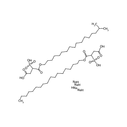 CC(C)CCCCCCCCCCCCCCCOC(=O)C(CC(=O)O)S(=O)(=O)O.CCCCCCCCCCCCCCCCCCOC(=O)C(CC(=O)O)S(=O)(=O)O.[NaH].[NaH].[NaH].[NaH]